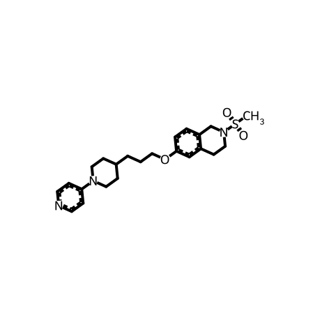 CS(=O)(=O)N1CCc2cc(OCCCC3CCN(c4ccncc4)CC3)ccc2C1